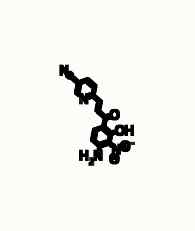 N#Cc1ccc(C=CC(=O)c2ccc(N)c([N+](=O)[O-])c2O)nc1